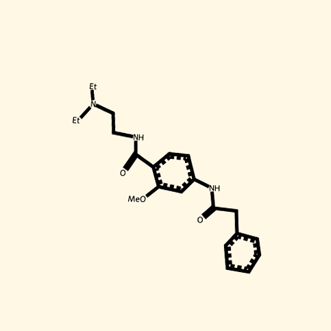 CCN(CC)CCNC(=O)c1ccc(NC(=O)Cc2ccccc2)cc1OC